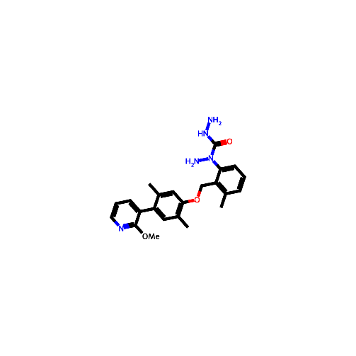 COc1ncccc1-c1cc(C)c(OCc2c(C)cccc2N(N)C(=O)NN)cc1C